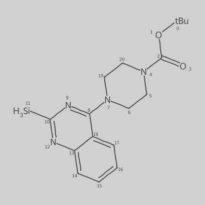 CC(C)(C)OC(=O)N1CCN(c2nc([SiH3])nc3ccccc23)CC1